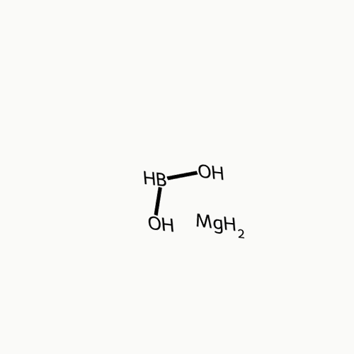 OBO.[MgH2]